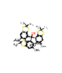 COc1cc2c(c(C(O)(c3c(OC)c(OC)cc4c3SC(C)(C)S4)c3c(OC)c(OC)cc4c3SC(C)(C)S4)c1OC)SC(C)(C)S2